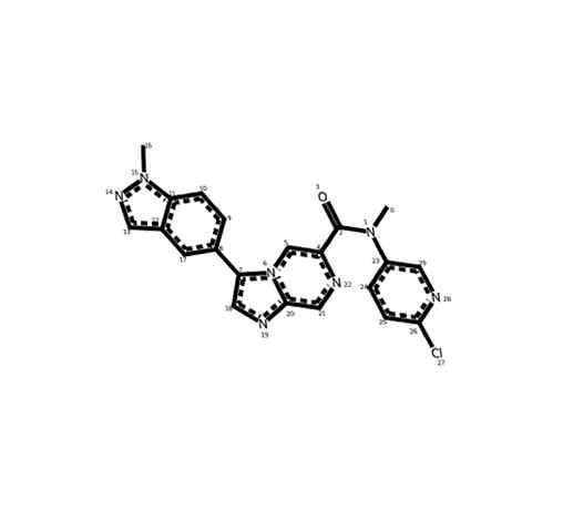 CN(C(=O)c1cn2c(-c3ccc4c(cnn4C)c3)cnc2cn1)c1ccc(Cl)nc1